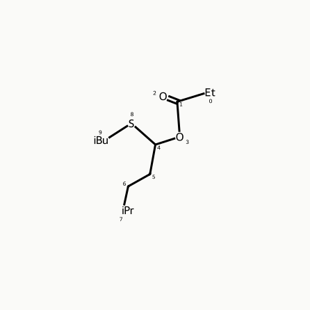 CCC(=O)OC(CCC(C)C)SC(C)CC